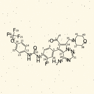 CC(=O)c1c(-c2ccc(NC(=O)Nc3ccc(OC(F)(F)F)cc3)c(F)c2)c2c(N)ncnn2c1CN1CCOCC1